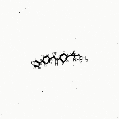 CCC1(N)CC1c1ccc(NC(=O)c2ccc(-c3ccoc3)cc2)cc1